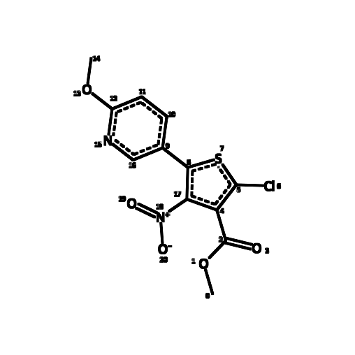 COC(=O)c1c(Cl)sc(-c2ccc(OC)nc2)c1[N+](=O)[O-]